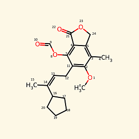 COc1c(C)c2c(c(OC=O)c1CC=C(C)C1CCCC1)C(=O)OC2